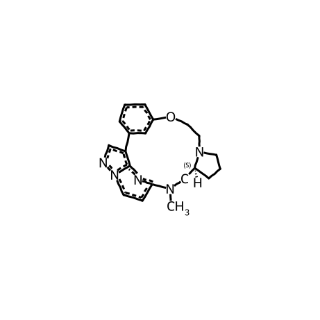 CN1C[C@@H]2CCCN2CCOc2cccc(c2)-c2cnn3ccc1nc23